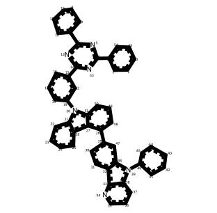 c1ccc(-c2nc(-c3ccccc3)nc(-c3cccc(-n4c5ccccc5c5c(-c6ccc7c8ncccc8n(-c8ccccc8)c7c6)cccc54)c3)n2)cc1